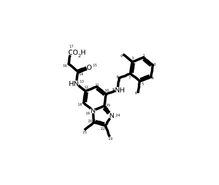 Cc1cccc(C)c1CNc1cc(NC(=O)CC(=O)O)cn2c(C)c(C)nc12